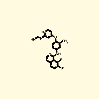 Cc1cc(Nc2ncnc3ccc(Br)c(F)c23)ccc1Oc1cc[nH]/c(=N\C=N)c1